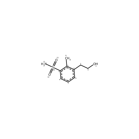 Cc1c(CCO)cccc1S(N)(=O)=O